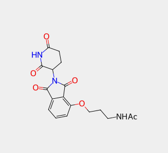 CC(=O)NCCCOc1cccc2c1C(=O)N(C1CCC(=O)NC1=O)C2=O